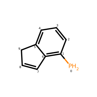 Pc1cccc2c1C=CC2